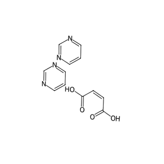 O=C(O)/C=C\C(=O)O.c1cncnc1.c1cncnc1